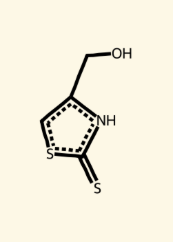 OCc1csc(=S)[nH]1